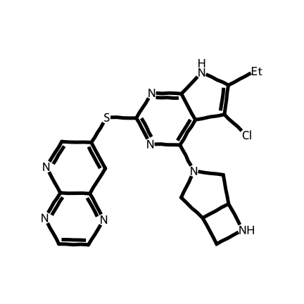 CCc1[nH]c2nc(Sc3cnc4nccnc4c3)nc(N3CC4CNC4C3)c2c1Cl